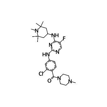 CN1CCN(C(=O)c2ccc(Nc3ncc(F)c(NC4CC(C)(C)N(C)C(C)(C)C4)n3)cc2Cl)CC1